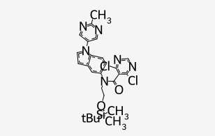 Cc1ncc(-n2ccc3cc(N(CCO[Si](C)(C)C(C)(C)C)C(=O)c4c(Cl)ncnc4Cl)ccc32)cn1